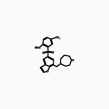 COc1ccc(C)cc1S(=O)(=O)c1cc(CN2CCCNCC2)c2occc2c1